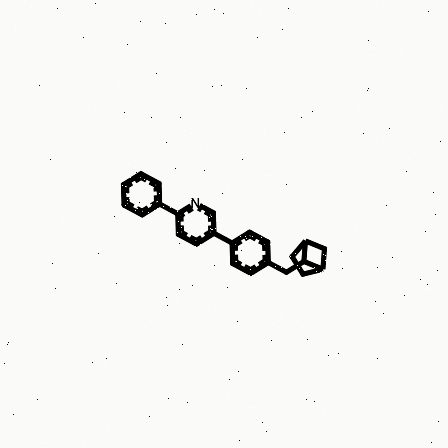 c1ccc(-c2ccc(-c3ccc(CC4C5CCC4C5)cc3)cn2)cc1